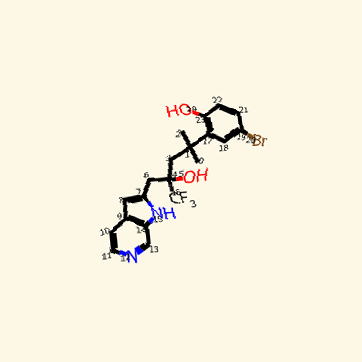 CC(C)(CC(O)(Cc1cc2ccncc2[nH]1)C(F)(F)F)c1cc(Br)ccc1O